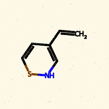 C=CC1=CNSC=C1